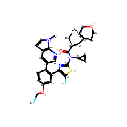 Cn1ccc2cc(-c3ccc(OCF)cc3-c3nc(N(C(=O)[C@@H](CC(=O)O)CC4CCOCC4)C4CC4)sc3F)cnc21